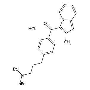 CCCN(CC)CCCc1ccc(C(=O)c2c(C)cc3ccccn23)cc1.Cl